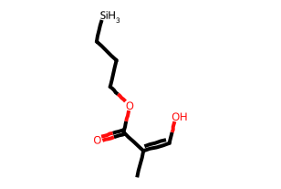 CC(=CO)C(=O)OCCC[SiH3]